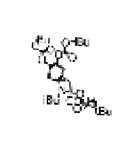 CCC(C)N[C@@](Cc1ccc(OC(=O)OC(C)CC)c(OC(=O)OC(C)CC)c1)(OC(=O)OC(C)(C)C)C(=O)O